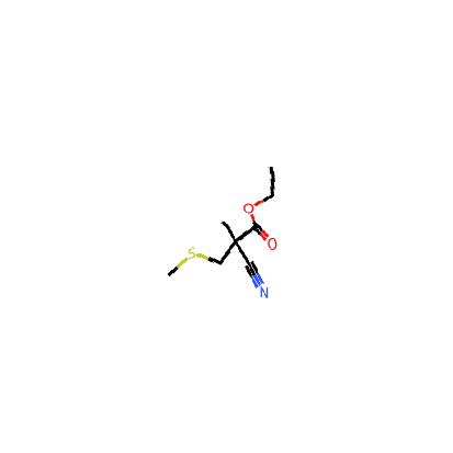 CCOC(=O)C(C)(C#N)CSC